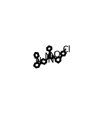 Clc1ccc2c(c1)oc1c(-c3nc(-c4ccccc4)nc(-c4ccc5c6ccccc6n(-c6ccccc6)c5c4)n3)cccc12